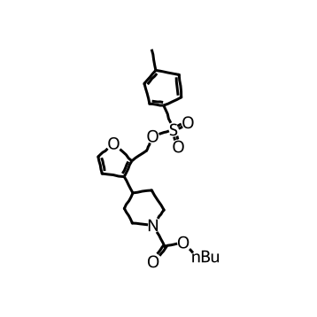 CCCCOC(=O)N1CCC(c2ccoc2COS(=O)(=O)c2ccc(C)cc2)CC1